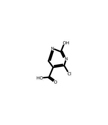 O=C(O)c1cnc(O)nc1Cl